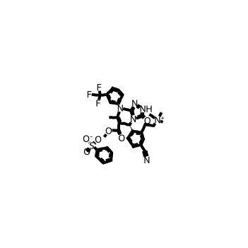 COC(=O)C1=C(C)N(c2cccc(C(F)(F)F)c2)c2n[nH]c(=O)n2[C@@H]1c1ccc(C#N)cc1CC[N+](C)(C)C.O=S(=O)([O-])c1ccccc1